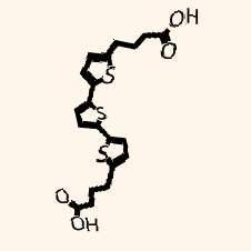 O=C(O)CCCc1ccc(-c2ccc(-c3ccc(CCCC(=O)O)s3)s2)s1